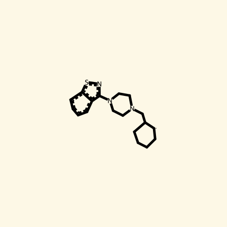 [CH]1CCCCC1CN1CCN(c2nsc3ccccc23)CC1